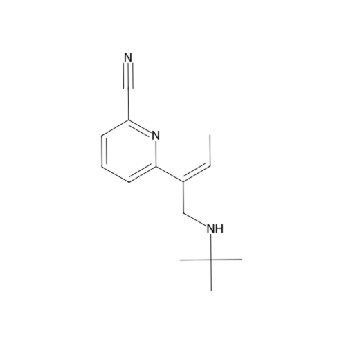 C/C=C(/CNC(C)(C)C)c1cccc(C#N)n1